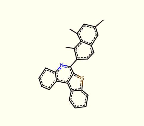 Cc1cc(C)c2c(C)c(-c3nc4ccccc4c4c3sc3ccccc34)ccc2c1